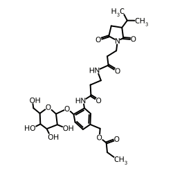 CCC(=O)OCc1ccc(OC2OC(CO)C(O)C(O)C2O)c(NC(=O)CCNC(=O)CCN2C(=O)CC(C(C)C)C2=O)c1